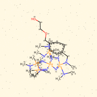 CN(C)P(C)(=N[PH](N=P(C)(C)C)(N=P(C)(N(C)C)N(C)C)N=P(N(C)C)(N(C)C)N(C)Cc1ccc(COCCO)cc1)N(C)C